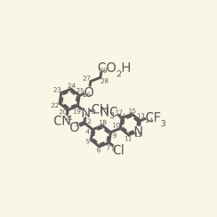 CN(C(=O)c1ccc(Cl)c(-c2cnc(C(F)(F)F)cc2C#N)c1)c1c(C#N)cccc1OCCC(=O)O